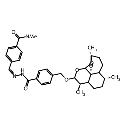 CNC(=O)c1ccc(/C=N\NC(=O)c2ccc(COC3OC4O[C@]5(C)CCC6[C@H](C)CCC([C@H]3C)[C@@]46OO5)cc2)cc1